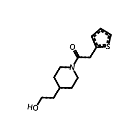 O=C(Cc1cccs1)N1CCC(CCO)CC1